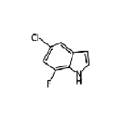 Fc1cc(Cl)cc2cc[nH]c12